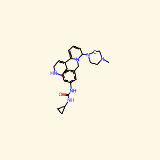 CN1CCN(C2C=CC=C(C3=CCNCC3)N2Cc2cccc(NC(=O)NC3CC3)c2)CC1